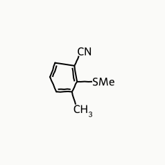 CSc1c(C)cccc1C#N